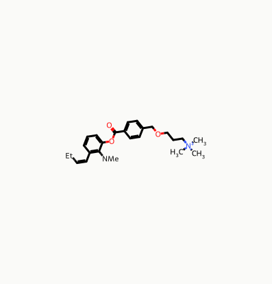 CC/C=C\c1cccc(OC(=O)c2ccc(COCCC[N+](C)(C)C)cc2)c1NC